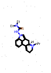 CCCN1CCC=C2c3cccc4c3c(cn4NC(=S)N(CC)CC)C[C@H]21